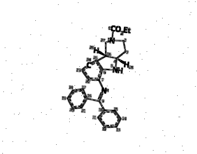 CCOC(=O)N1CC[C@@H]2Nc3c(N=C(c4ccccc4)c4ccccc4)cccc3[C@@H]2C1